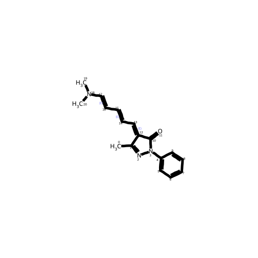 CC1=NN(c2ccccc2)C(=O)/C1=C/C=C/C=C/N(C)C